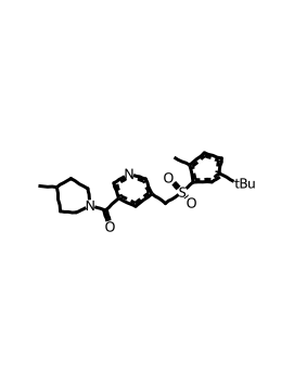 Cc1ccc(C(C)(C)C)cc1S(=O)(=O)Cc1cncc(C(=O)N2CCC(C)CC2)c1